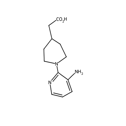 Nc1cccnc1N1CCC(CC(=O)O)CC1